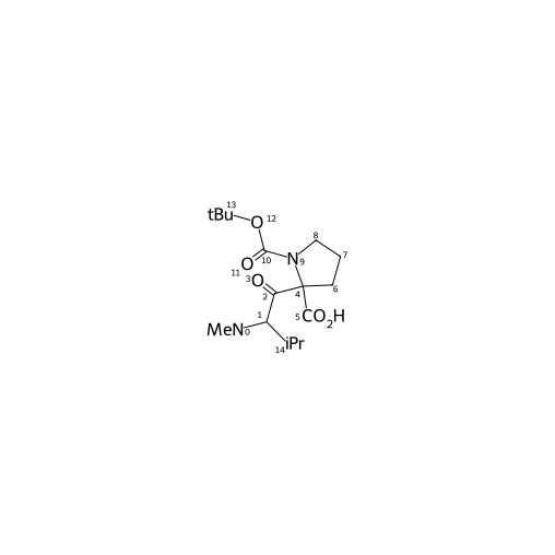 CNC(C(=O)C1(C(=O)O)CCCN1C(=O)OC(C)(C)C)C(C)C